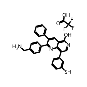 NCc1ccc(-c2nc3c(-c4cccc(S)c4)cnc(O)c3cc2-c2ccccc2)cc1.O=C(O)C(F)(F)F